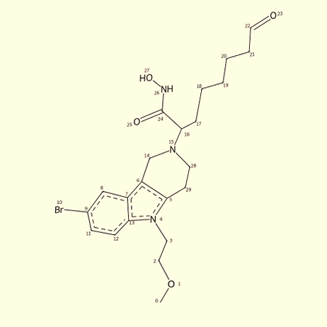 COCCn1c2c(c3cc(Br)ccc31)CN(C(CCCCCC=O)C(=O)NO)CC2